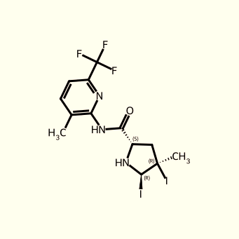 Cc1ccc(C(F)(F)F)nc1NC(=O)[C@@H]1C[C@@](C)(I)[C@@H](I)N1